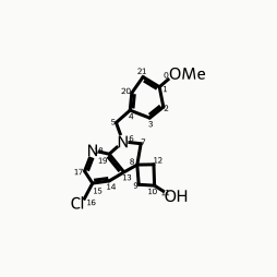 COc1ccc(CN2CC3(CC(O)C3)c3cc(Cl)cnc32)cc1